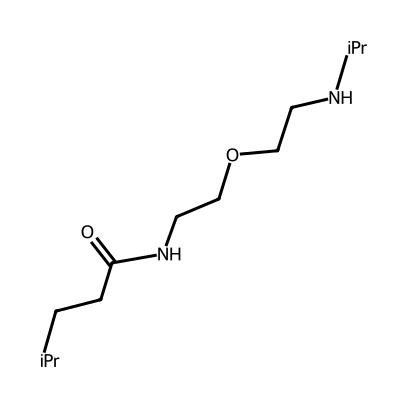 CC(C)CCC(=O)NCCOCCNC(C)C